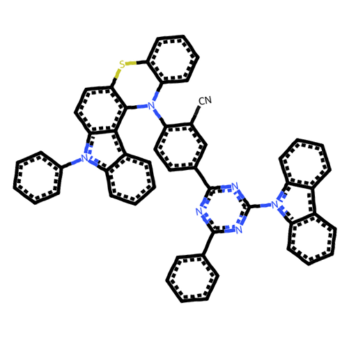 N#Cc1cc(-c2nc(-c3ccccc3)nc(-n3c4ccccc4c4ccccc43)n2)ccc1N1c2ccccc2Sc2ccc3c(c21)c1ccccc1n3-c1ccccc1